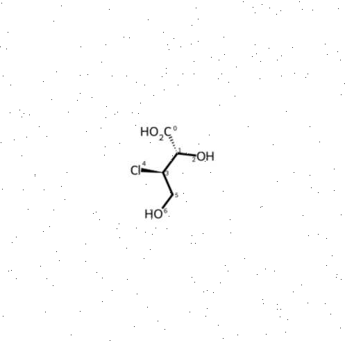 O=C(O)[C@H](O)[C@H](Cl)CO